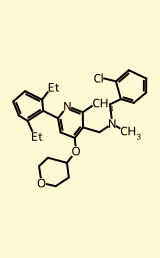 CCc1cccc(CC)c1-c1cc(OC2CCOCC2)c(CN(C)Cc2ccccc2Cl)c(C)n1